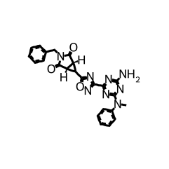 CN(c1ccccc1)c1nc(N)nc(-c2noc(C3[C@H]4C(=O)N(Cc5ccccc5)C(=O)[C@@H]34)n2)n1